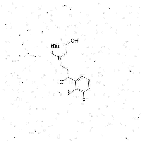 CC(C)(C)CN(CCO)CCC([O])c1cccc(F)c1F